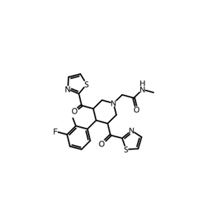 CNC(=O)CN1CC(C(=O)c2nccs2)C(c2cccc(F)c2C)C(C(=O)c2nccs2)C1